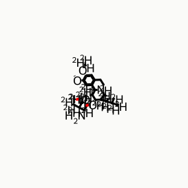 [2H]C([2H])([2H])Oc1cc2c(cc1OC)C1([2H])N(CC2)C([2H])([2H])C([2H])(C([2H])([2H])C([2H])(C)C([2H])([2H])[2H])C(OC(=O)[C@@]([2H])(N)C([2H])(C([2H])([2H])[2H])C([2H])([2H])[2H])C1([2H])[2H]